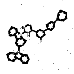 Fc1cc(C2=CCNC(n3c4ccccc4c4cc(-n5c6ccccc6c6ccccc65)ccc43)N2)cc(-c2ccc(-c3ccccc3)cc2)c1